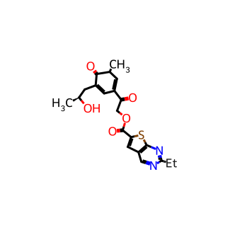 CCc1ncc2cc(C(=O)OCC(=O)C3=CC(C)C(=O)C(C[C@H](C)O)=C3)sc2n1